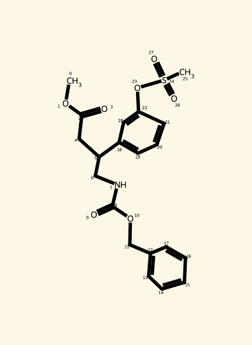 COC(=O)CC(CNC(=O)OCc1ccccc1)c1cccc(OS(C)(=O)=O)c1